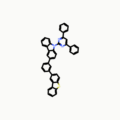 c1ccc(-c2cc(-c3ccccc3)nc(-n3c4ccccc4c4cc(-c5cccc(-c6ccc7sc8ccccc8c7c6)c5)ccc43)n2)cc1